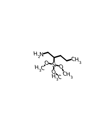 CCCC(CN)[Si](OC)(OC)OC